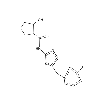 O=C(Nc1ncc(Cc2cccc(F)c2)s1)C1CCCC1O